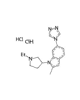 CCN1CCC(n2c(C)cc3ccc(-n4cnnc4)cc32)C1.Cl.Cl